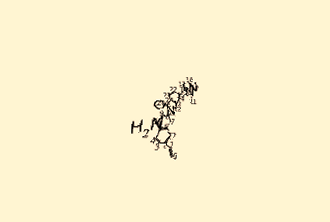 C#Cc1cccc(C[C@@H](CN)N2Cc3cc(-c4ccnn4C)ccc3C2=O)c1